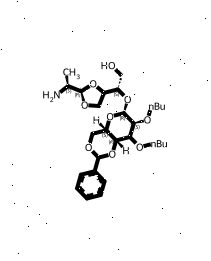 CCCCOC1[C@H](OCCCC)[C@H](O[C@@H](CO)C2CO[C@@H]([C@H](C)N)O2)O[C@H]2COC(c3ccccc3)O[C@@H]12